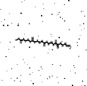 CCNCCCCNCCCCNCCCCNC(=O)CCCN